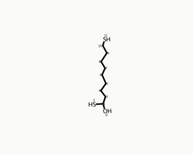 OC(S)CCCCCCCCS